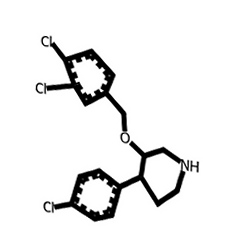 Clc1ccc(C2CCNCC2OCc2ccc(Cl)c(Cl)c2)cc1